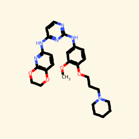 COc1cc(Nc2nccc(Nc3ccc4c(n3)OCCO4)n2)ccc1OCCCN1CCCCC1